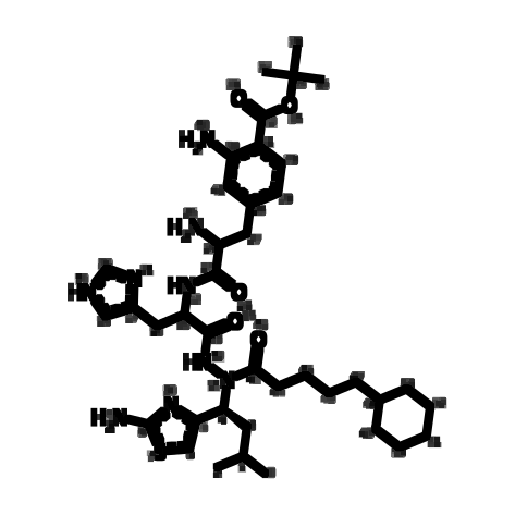 CC(C)C[C@@H](c1csc(N)n1)N(NC(=O)C(Cc1c[nH]cn1)NC(=O)C(N)Cc1ccc(C(=O)OC(C)(C)C)c(N)c1)C(=O)CCCCC1CCCCC1